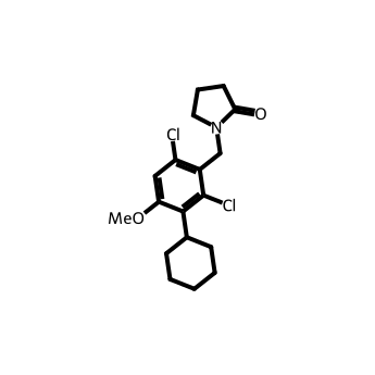 COc1cc(Cl)c(CN2CCCC2=O)c(Cl)c1C1CCCCC1